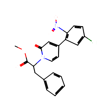 COC(=O)C(Cc1ccccc1)n1ccc(-c2cc(Cl)ccc2[N+](=O)[O-])cc1=O